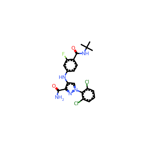 CC(C)(C)NC(=O)c1ccc(Nc2cn(-c3c(Cl)cccc3Cl)nc2C(N)=O)cc1F